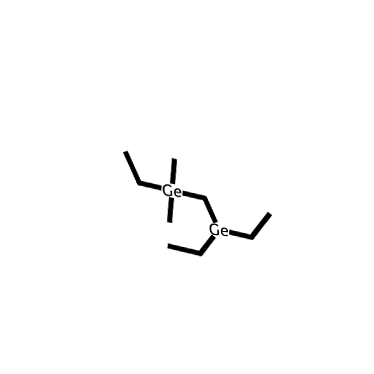 C[CH2][Ge]([CH2]C)[CH2][Ge]([CH3])([CH3])[CH2]C